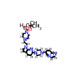 CC(C)(C)OC(=O)N1CCN(CCn2ccc3ccc(N4CCN(c5ccc6nccn6c5)CC4)nc32)CC1